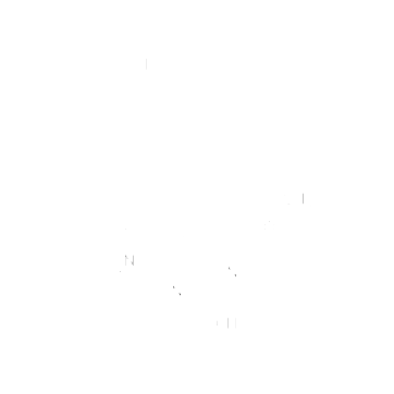 COc1cc(-c2ccc(F)cc2)c(-c2ccccc2)c2c(N)nc(C)nc12